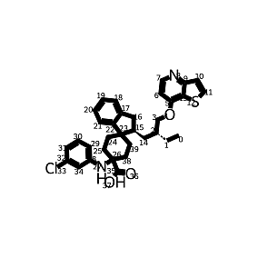 CC[C@@H](COc1ccnc2ccsc12)C[C@@H]1Cc2ccccc2C12CCC(Nc1cccc(Cl)c1)(C(=O)O)CC2